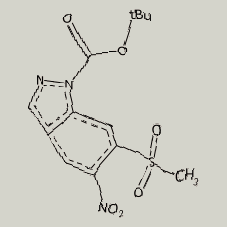 CC(C)(C)OC(=O)n1ncc2cc([N+](=O)[O-])c(S(C)(=O)=O)cc21